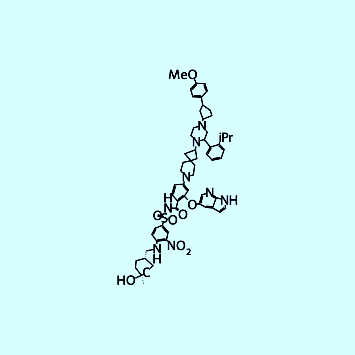 COc1ccc(C2CCC(N3CCN(C4CC5(CCN(c6ccc(C(=O)NS(=O)(=O)c7ccc(NC[C@H]8CC[C@](C)(O)CC8)c([N+](=O)[O-])c7)c(Oc7cnc8[nH]ccc8c7)c6)CC5)C4)C(c4ccccc4C(C)C)C3)C2)cc1